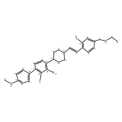 CCOCc1ccc(/C=C/C2CCC(c3ccc(-c4ccc(OC)cc4)c(F)c3F)CC2)c(F)c1